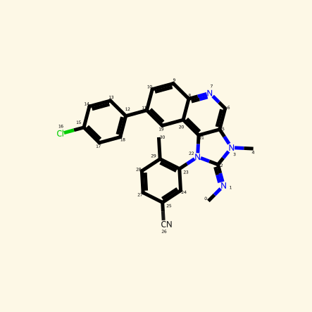 CN=c1n(C)c2cnc3ccc(-c4ccc(Cl)cc4)cc3c2n1-c1cc(C#N)ccc1C